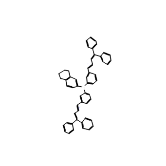 C(/C=C/c1cccc(N(c2cccc(/C=C/C=C(c3ccccc3)c3ccccc3)c2)c2ccc3c(c2)CCCC3)c1)=C(c1ccccc1)c1ccccc1